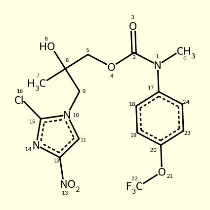 CN(C(=O)OCC(C)(O)Cn1cc([N+](=O)[O-])nc1Cl)c1ccc(OC(F)(F)F)cc1